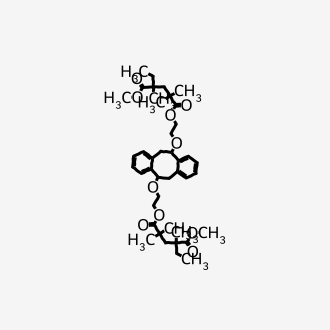 CCC(C)(CC(C)(C)C(=O)OCCOC1Cc2ccccc2C(OCCOC(=O)C(C)(C)CC(C)(CC)C(=O)OC)Cc2ccccc21)C(=O)OC